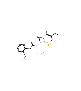 CC(=O)OCC1=C(C(=O)O)N2C(=O)[C@H](NC(=O)Cc3ccccc3CN)[C@@H]2S(=O)(=O)C1.CNC